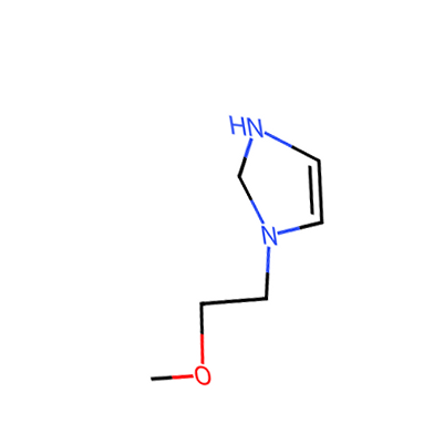 COCCN1C=CNC1